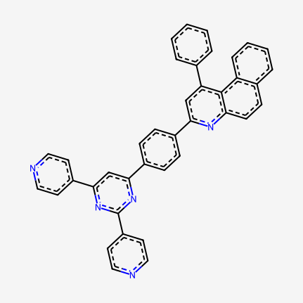 c1ccc(-c2cc(-c3ccc(-c4cc(-c5ccncc5)nc(-c5ccncc5)n4)cc3)nc3ccc4ccccc4c23)cc1